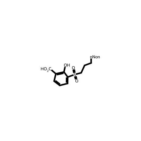 CCCCCCCCCCCCS(=O)(=O)c1cccc(C(=O)O)c1O